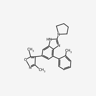 Cc1cc[c]cc1-c1cc(-c2c(C)noc2C)cc2[nH]c(N3CCCC3)nc12